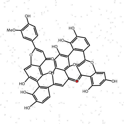 COc1cc(-c2cc(=O)c3c(O)c(-c4c(-c5cc(=O)c6c(O)c(-c7c(-c8cc(=O)c9c(O)cc(O)cc9o8)ccc(O)c7O)c(O)cc6o5)ccc(O)c4O)c(O)cc3o2)ccc1O